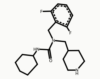 O=C(NC1CCCCC1)N(Cc1c(F)cccc1F)CC1CCNCC1